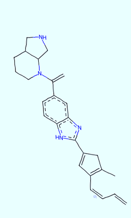 C=C/C=C\C1=C(C)CC(c2nc3cc(C(=C)N4CCCC5CNCC54)ccc3[nH]2)=C1